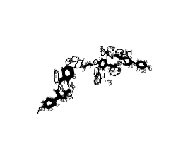 COc1cc2c(cc1OCCCOc1cc3c(cc1OC)C(=O)N1C=C(c4ccc(F)cc4)C[C@H]1[C@H](O)N3C(=O)OI)N=C[C@@H]1CC(c3ccc(F)cc3)=CN1C2=O